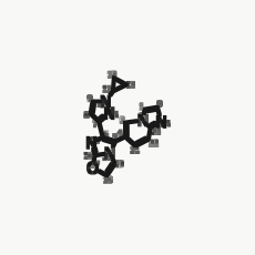 c1cn2cc(-c3c(-c4ccn(C5CC5)n4)nc4occn34)ccc2n1